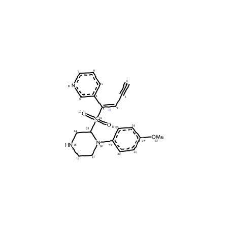 C#C/C=C(\c1cccnc1)S(=O)(=O)C1CNCCN1c1ccc(OC)cc1